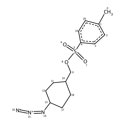 Cc1ccc(S(=O)(=O)OCC2CCC(N=[N+]=[N-])CC2)cc1